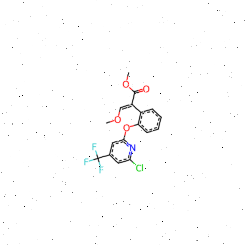 CO/C=C(/C(=O)OC)c1ccccc1Oc1cc(C(F)(F)F)cc(Cl)n1